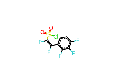 O=S(=O)(Cl)C(F)=C(F)c1ccc(F)c(F)c1F